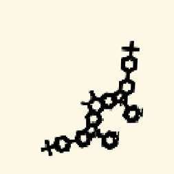 CC1c2cc3c4cc(-c5ccc(C(C)(C)C)cc5)ccc4n(-c4cccnc4)c3cc2-c2cc3c(cc2C1C)c1cc(-c2ccc(C(C)(C)C)cc2)ccc1n3-c1cccnc1